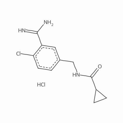 Cl.N=C(N)c1cc(CNC(=O)C2CC2)ccc1Cl